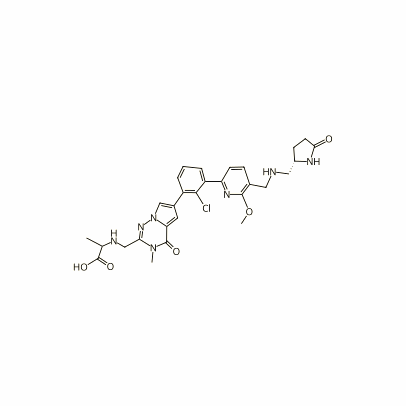 COc1nc(-c2cccc(-c3cc4c(=O)n(C)c(CNC(C)C(=O)O)nn4c3)c2Cl)ccc1CNC[C@@H]1CCC(=O)N1